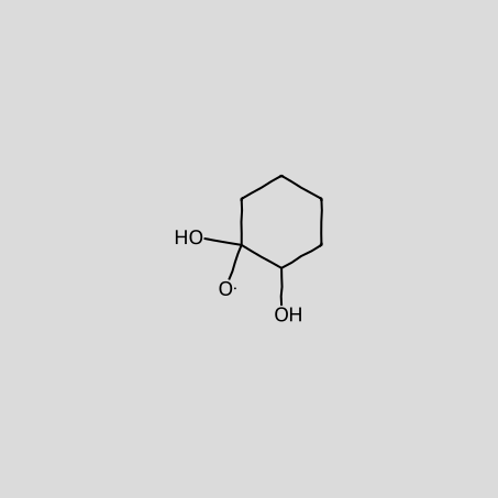 [O]C1(O)CCCCC1O